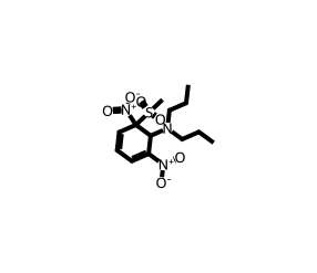 CCCN(CCC)C1C([N+](=O)[O-])=CC=CC1([N+](=O)[O-])S(C)(=O)=O